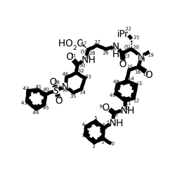 Cc1ccccc1NC(=O)Nc1ccc(CC(=O)N(C)[C@@H](CC(C)C)C(=O)NCC[C@H](NC(=O)C2CCCN(S(=O)(=O)c3ccccc3)C2)C(=O)O)cc1